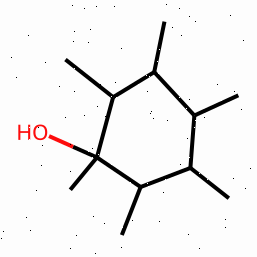 CC1C(C)C(C)C(C)(O)C(C)C1C